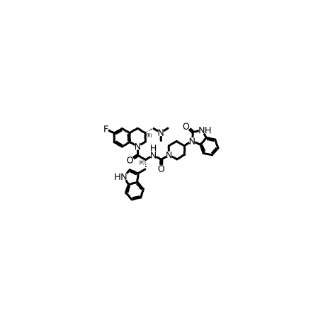 CN(C)C[C@H]1Cc2cc(F)ccc2N(C(=O)[C@@H](Cc2c[nH]c3ccccc23)NC(=O)N2CCC(n3c(=O)[nH]c4ccccc43)CC2)C1